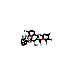 NC(=O)C[C@H](N)C(=O)NC[C@]1(O)C2CC1C[C@@H](S(=O)(=O)c1cc(C(=O)Nc3cc(F)c(F)c(F)c3)ccc1Cl)C2